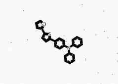 c1ccc(N(c2ccccc2)c2ccc(-c3ccc(-c4ccco4)s3)cc2)cc1